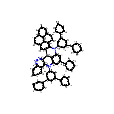 c1ccc(-c2cc(-c3ccccc3)cc(N3c4cc(-c5ccccc5)cc5c4B(c4cc6ccc7cccc8ccc(c4N5c4cc(-c5ccccc5)cc(-c5ccccc5)c4)c6c78)c4nnc5ccccc5c43)c2)cc1